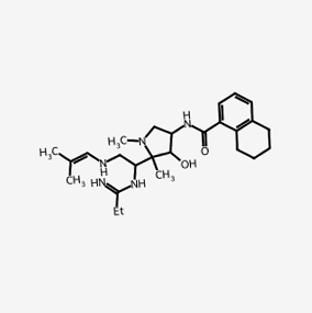 CCC(=N)NC(CNC=C(C)C)C1(C)C(O)C(NC(=O)c2cccc3c2CCCC3)CN1C